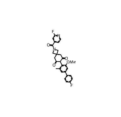 COc1cc(-c2ccc(F)cc2)cc(C)c1C1C(=O)CC2(CC1=O)CN(C(=O)c1ccnc(F)c1)C2